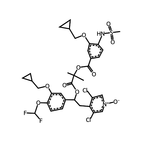 CC(C)(OC(=O)c1ccc(NS(C)(=O)=O)c(OCC2CC2)c1)C(=O)OC(Cc1c(Cl)c[n+]([O-])cc1Cl)c1ccc(OC(F)F)c(OCC2CC2)c1